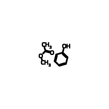 COC(C)=O.Oc1ccccc1